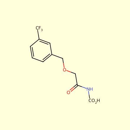 O=C(O)NC(=O)COCc1cccc(C(F)(F)F)c1